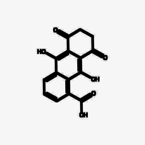 O=C1CCC(=O)c2c1c(O)c1cccc(C(=O)O)c1c2O